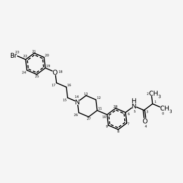 CC(C)C(=O)Nc1cccc(C2CCN(CCCOc3ccc(Br)cc3)CC2)c1